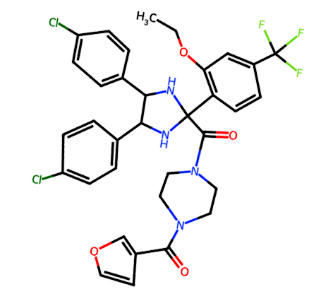 CCOc1cc(C(F)(F)F)ccc1C1(C(=O)N2CCN(C(=O)c3ccoc3)CC2)NC(c2ccc(Cl)cc2)C(c2ccc(Cl)cc2)N1